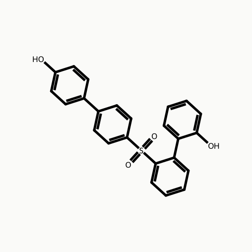 O=S(=O)(c1ccc(-c2ccc(O)cc2)cc1)c1ccccc1-c1ccccc1O